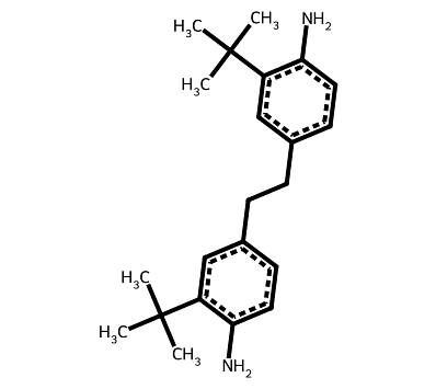 CC(C)(C)c1cc(CCc2ccc(N)c(C(C)(C)C)c2)ccc1N